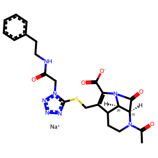 CC(=O)N1CCC2C(CSc3nnnn3CC(=O)NCCc3ccccc3)=C(C(=O)[O-])N3C(=O)[C@@H]1[C@@H]23.[Na+]